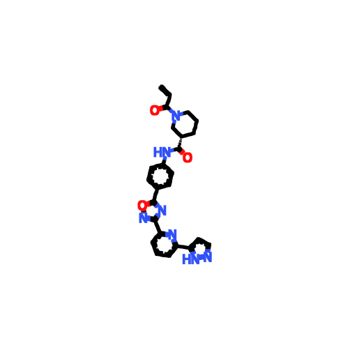 C=CC(=O)N1CCC[C@H](C(=O)Nc2ccc(-c3nc(-c4cccc(-c5ccn[nH]5)n4)no3)cc2)C1